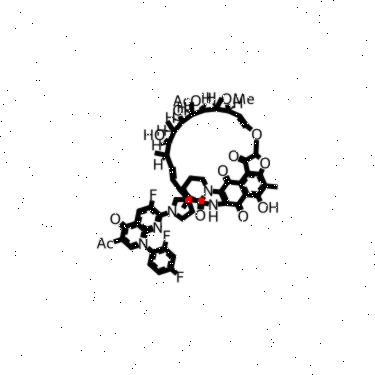 CO[C@H]1/C=C/O[C@@]2(C)Oc3c(C)c(O)c4c(c3C2=O)C(=O)C(N2CCCC3(CCN(c5nc6c(cc5F)c(=O)c(C(C)=O)cn6-c5ccc(F)cc5F)C3)C2)=C(NC(=O)/C(C)=C\C=C\[C@H](C)[C@H](O)[C@@H](C)[C@@H](O)[C@@H](C)[C@H](OC(C)=O)[C@@H]1C)C4=O